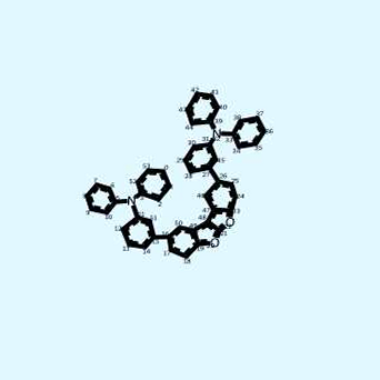 c1ccc(N(c2ccccc2)c2cccc(-c3ccc4oc5oc6ccc(-c7cccc(N(c8ccccc8)c8ccccc8)c7)cc6c5c4c3)c2)cc1